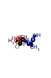 Cc1cc2nc(-c3ccc4c(n3)c(C3CCN(C5CNC5)CC3)cn4C)sc2c(-c2ccc(Cl)cc2)c1[C@H](OC(C)(C)C)C(=O)O